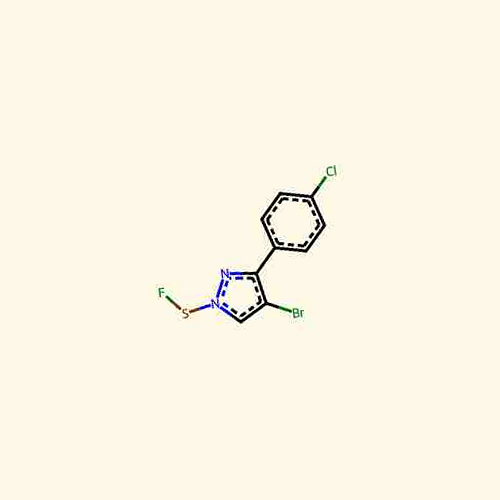 FSn1cc(Br)c(-c2ccc(Cl)cc2)n1